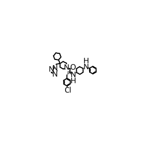 O=C([C@@H](Cc1ccc(Cl)cc1)N[C@H]1CC[C@@H](Nc2ccccc2)CC1)N1CCC(Cn2cncn2)(C2CCCCC2)CC1